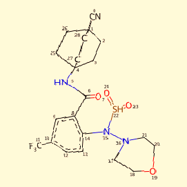 N#CC12CCC(NC(=O)c3cc(C(F)(F)F)ccc3N(N3CCOCC3)[SH](=O)=O)(CC1)CC2